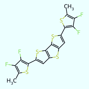 Cc1sc(-c2cc3sc4cc(-c5sc(C)c(F)c5F)sc4c3s2)c(F)c1F